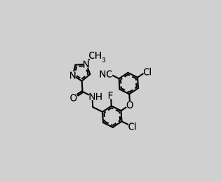 Cn1cnc(C(=O)NCc2ccc(Cl)c(Oc3cc(Cl)cc(C#N)c3)c2F)c1